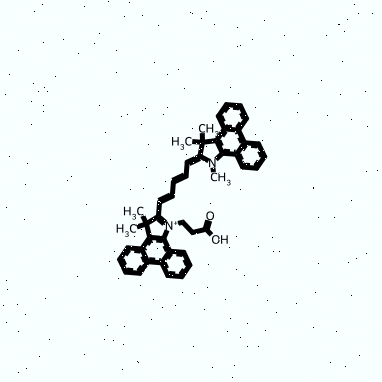 CN1\C(=C/C=C/C=C/C2=[N+](CCC(=O)O)c3c(c4ccccc4c4ccccc34)C2(C)C)C(C)(C)c2c1c1ccccc1c1ccccc21